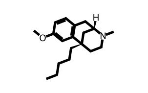 CCCCC[C@@]12CCN(C)[C@@H](Cc3ccc(OC)cc31)C2